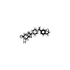 CC(c1ccc2c(c1)OCC2)N1CCN(c2nc3n(n2)CC(=O)NC3)CC1